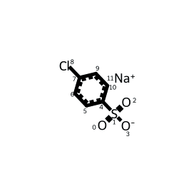 O=S(=O)([O-])c1ccc(Cl)cc1.[Na+]